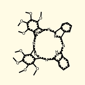 COc1c(OC)c(OC)c2c(c1OC)-c1nc-2nc2[nH]c(nc3nc(nc4[nH]c(n1)c1ccccc41)-c1ccccc1-3)c1c(OC)c(OC)c(OC)c(OC)c21